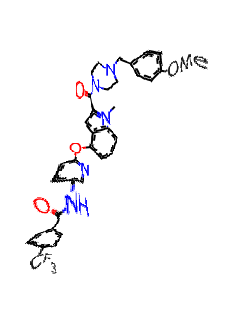 COc1ccc(CN2CCN(C(=O)c3cc4c(Oc5ccc(NC(=O)c6ccc(C(F)(F)F)cc6)cn5)cccc4n3C)CC2)cc1